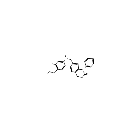 CCOC(=O)CCc1ccc(N(C)Cc2ccc3c(c2)N(c2ccccc2)C(=O)CC3)cc1F